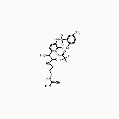 Cc1ccc(C)c(S(=O)(=O)Nc2ccc(C(C)C(=O)NCCONC(=N)N)n(OC(=O)C(F)(F)F)c2=O)c1